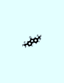 O=C1c2cc(C(F)(F)F)ccc2-c2ccc(C(F)(F)F)cc21